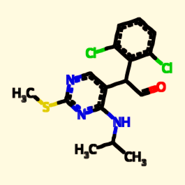 CSc1ncc(C(C=O)c2c(Cl)cccc2Cl)c(NC(C)C)n1